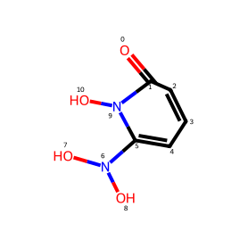 O=c1cccc(N(O)O)n1O